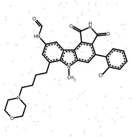 Cn1c2cc(-c3ccccc3Cl)c3c(c2c2cc(NC=O)cc(CCCCN4CCOCC4)c21)C(=O)NC3=O